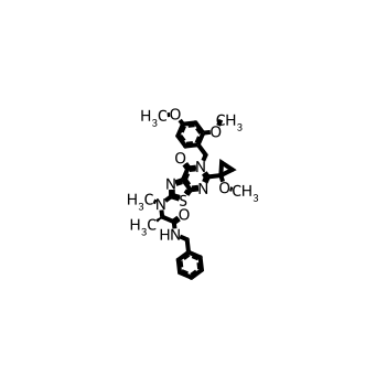 COc1ccc(Cn2c(C3(OC)CC3)nc3sc(N(C)[C@H](C)C(=O)NCc4ccccc4)nc3c2=O)c(OC)c1